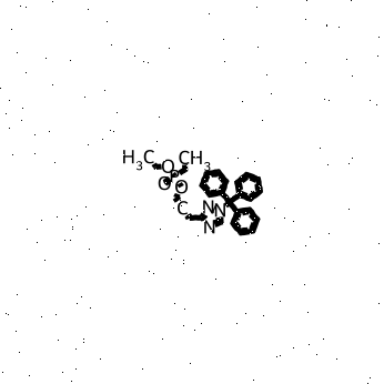 CCOP(=O)(CC)OC=C=Cc1ncn(C(c2ccccc2)(c2ccccc2)c2ccccc2)n1